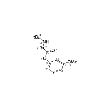 COc1cccc(OC(=O)NNC(C)(C)C)c1